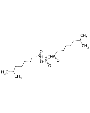 CC(C)CCCCC[PH](=O)O[PH](=O)O[PH](=O)CCCCCC(C)C